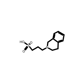 O=S(=O)(O)CCCN1CCc2ccccc2C1